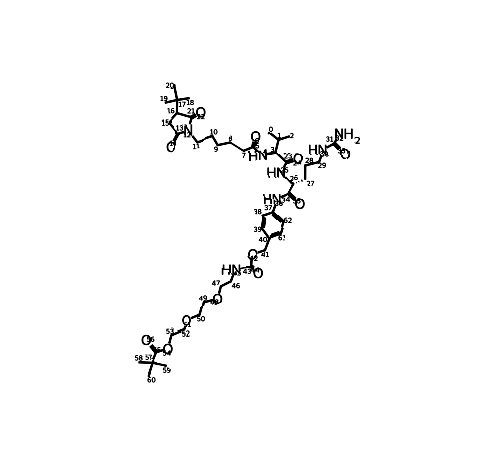 CC(C)C(NC(=O)CCCCCN1C(=O)CC(C(C)(C)C)C1=O)C(=O)N[C@H](CCCNC(N)=O)C(=O)Nc1ccc(COC(=O)NCCOCCOCCOC(=O)C(C)(C)C)cc1